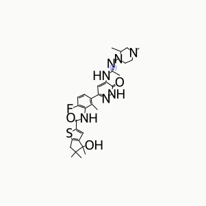 C/C(=N\N1CCN(C)CC1C)Nc1cc(-c2ccc(F)c(NC(=O)c3cc4c(s3)CC(C)(C)C4(C)O)c2C)n[nH]c1=O